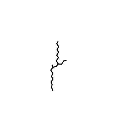 CCCCCCCCC(C)CC(CCC)CCCCCCCC